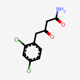 NC(=O)[CH]C(=O)Cc1ccc(Cl)cc1Cl